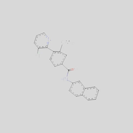 COc1cc(C(=O)Nc2ccc3ccccc3c2)ccc1-c1ncccc1Cl